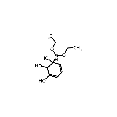 CCO[SiH](OCC)C1(O)C=CC=C(O)C1O